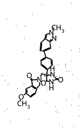 COc1ccc2c(c1)C(=O)N(C[C@@]1(c3ccc(-c4ccc5cn(C)nc5c4)cc3)NC(=O)NC1=O)C2